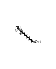 CCCCCCCCC=CCCCCCCCCNCC(N)=O